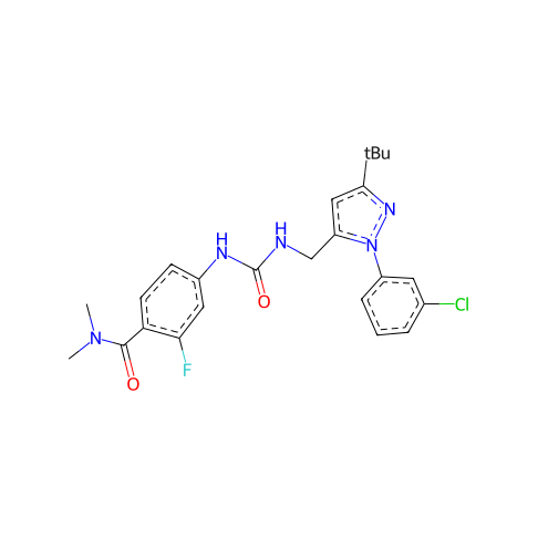 CN(C)C(=O)c1ccc(NC(=O)NCc2cc(C(C)(C)C)nn2-c2cccc(Cl)c2)cc1F